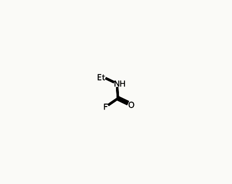 CCNC(=O)F